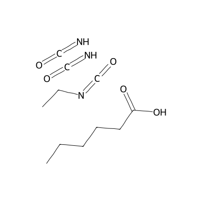 CCCCCC(=O)O.CCN=C=O.N=C=O.N=C=O